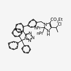 CCCC1(CCC)NC(C(C)Cl)=C(C(=O)OCC)N1Cc1ccc(-c2ccccc2-c2nnnn2C(c2ccccc2)(c2ccccc2)c2ccccc2)cc1